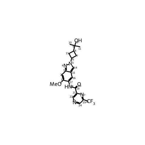 COc1cc2nn(C3CC(C(C)(C)O)C3)cc2cc1NC(=O)c1cncc(C(F)(F)F)n1